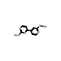 CSc1nccc(-c2ccnc(OC(C)(C)C)c2)n1